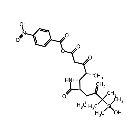 C=C([C@H](C)[C@H]1C(=O)N[C@@H]1[C@@H](C)C(=O)CC(=O)OC(=O)c1ccc([N+](=O)[O-])cc1)C(C)(C)[Si](C)(C)O